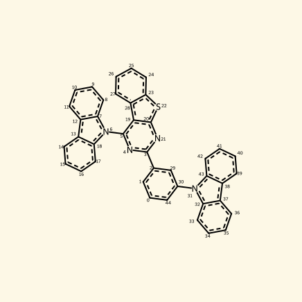 c1cc(-c2nc(-n3c4ccccc4c4ccccc43)c3c(n2)sc2ccccc23)cc(-n2c3ccccc3c3ccccc32)c1